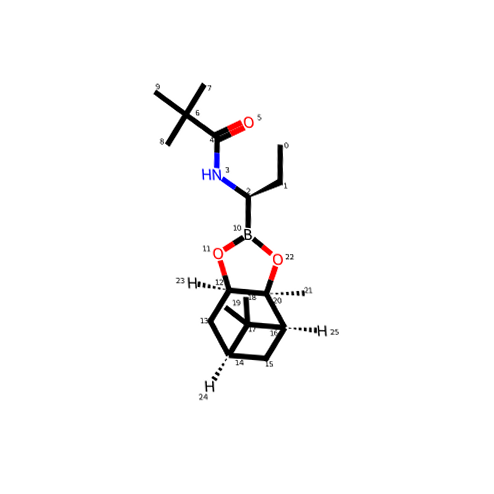 CC[C@H](NC(=O)C(C)(C)C)B1O[C@@H]2C[C@@H]3C[C@@H](C3(C)C)[C@]2(C)O1